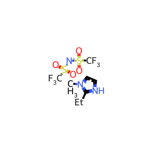 CCc1[nH]cc[n+]1C.O=S(=O)([N-]S(=O)(=O)C(F)(F)F)C(F)(F)F